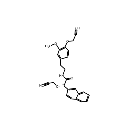 C#CCOc1ccc(CCNC(=O)[C@@H](OCC#C)c2ccc3ccccc3c2)cc1OC